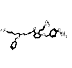 C=CCc1c(OCc2ccc(OC)cc2)cccc1C(=O)C#CCCC(CCCCC)OCc1ccccc1